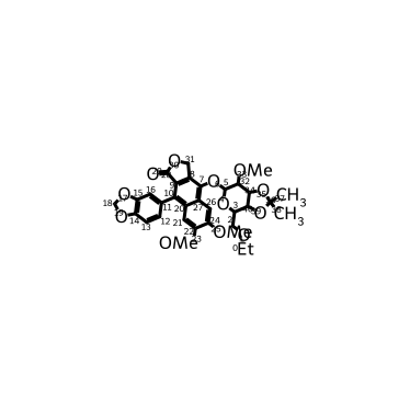 CCOCC1OC(Oc2c3c(c(-c4ccc5c(c4)OCO5)c4cc(OC)c(OC)cc24)C(=O)OC3)C(OC)C2OC(C)(C)OC12